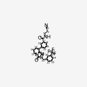 N#CCCNC(=O)c1cccc(-c2cccn3c(=O)n(Cc4cccc(C(F)(F)F)c4)nc23)c1